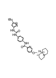 CC(C)(C)c1cc(NC(=O)Nc2ccc(NC(=O)c3ccc(OC[C@H]4CCCN5CCCC[C@@H]45)cn3)cc2)no1